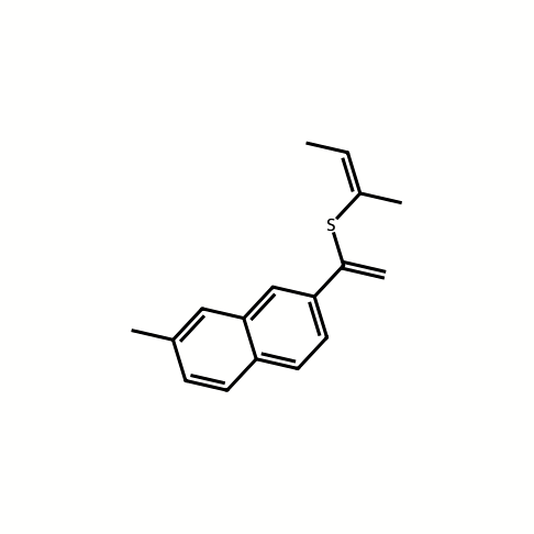 C=C(S/C(C)=C\C)c1ccc2ccc(C)cc2c1